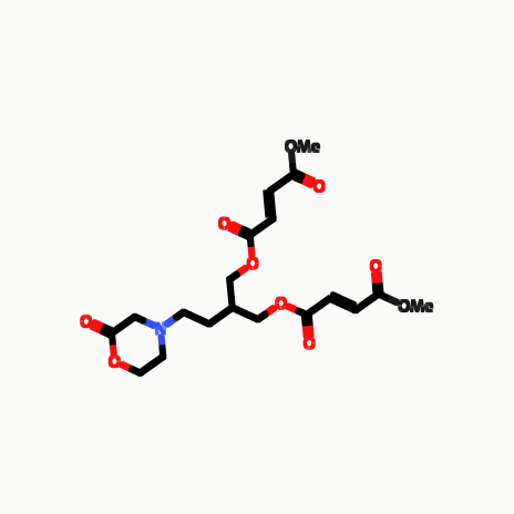 COC(=O)/C=C/C(=O)OCC(CCN1CCOC(=O)C1)COC(=O)/C=C/C(=O)OC